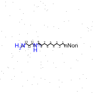 CCCCCCCCCCCCCCCC/C=C/NCCCN